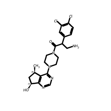 C[C@@H]1C[C@H](O)c2ncnc(N3CCN(C(=O)C(CN)c4ccc(Cl)c(Cl)c4)CC3)c21